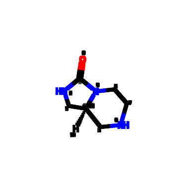 O=C1NC[C@@H]2CNCCN12